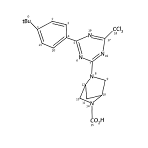 CC(C)(C)c1ccc(-c2nc(N3CC4CC3CN4C(=O)O)nc(C(Cl)(Cl)Cl)n2)cc1